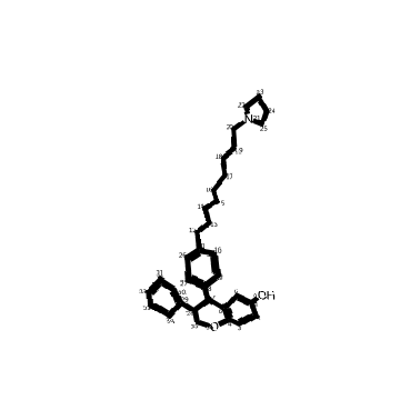 Oc1ccc2c(c1)C(c1ccc(CCCCCCCCCN3CCCC3)cc1)C(c1ccccc1)CO2